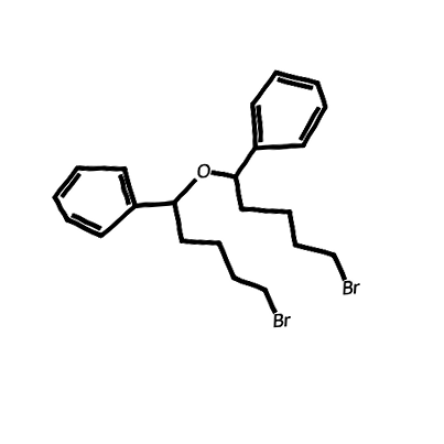 BrCCCCC(OC(CCCCBr)c1ccccc1)c1ccccc1